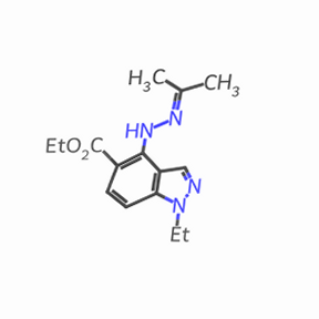 CCOC(=O)c1ccc2c(cnn2CC)c1NN=C(C)C